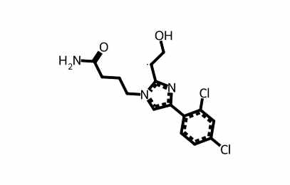 NC(=O)CCCn1cc(-c2ccc(Cl)cc2Cl)nc1[CH]CO